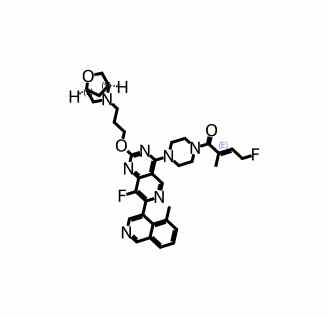 C/C(=C\CF)C(=O)N1CCN(c2nc(OCCCN3C[C@@H]4C[C@H]3CO4)nc3c(F)c(-c4cncc5cccc(C)c45)ncc23)CC1